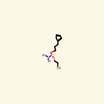 CC(C)N(C(C)C)P(OCCC#N)OCCCC1=CC=CC1